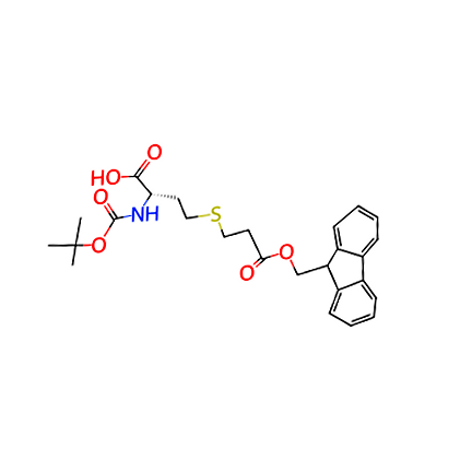 CC(C)(C)OC(=O)N[C@@H](CCSCCC(=O)OCC1c2ccccc2-c2ccccc21)C(=O)O